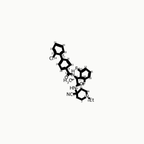 CCN1CCC(C#N)(NC(=O)[C@@](C)(NC(=O)c2ccc(-c3ccccc3Cl)cc2)c2c(F)cccc2F)CC1